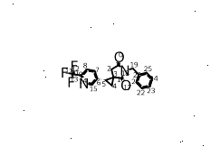 O=C1CC2(C[C@@H]2c2ccc(C(F)(F)F)nc2)C(=O)N1Cc1ccccc1